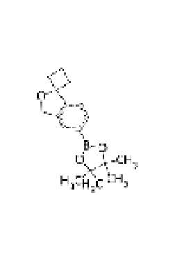 CC1(C)OB(c2ccc3c(c2)COC32CCC2)OC1(C)C